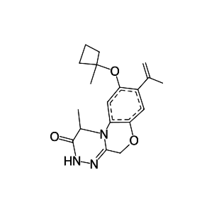 C=C(C)c1cc2c(cc1OC1(C)CCC1)N1C(=NNC(=O)C1C)CO2